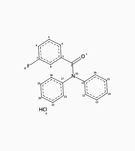 Cl.O=C(c1cccc(F)c1)N(c1ccccc1)c1ccccc1